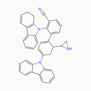 N#Cc1cccc(C2=CC=C(n3c4ccccc4c4ccccc43)CC2C2CN2)c1-n1c2c(c3ccccc31)C=CCC2